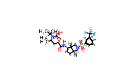 CC(CCC(=O)N[C@@H]1CC[C@H]2CN(S(=O)(=O)c3cccc(C(F)(F)F)c3)C[C@H]21)N(C(=O)O)C(C)(C)C